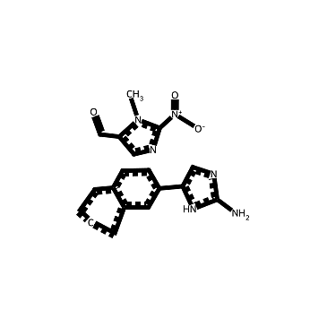 Cn1c(C=O)cnc1[N+](=O)[O-].Nc1ncc(-c2ccc3ccccc3c2)[nH]1